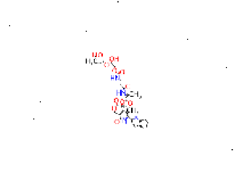 CCC(CO)OC(O)COC(=O)NCCC(=O)N[C@@H](C)C(=O)O[C@]1(CC)C(=O)OCc2c1cc1n(c2=O)Cc2cc3ccccc3nc2-1